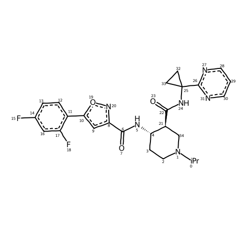 CC(C)N1CC[C@H](NC(=O)c2cc(-c3ccc(F)cc3F)on2)[C@@H](C(=O)NC2(c3ncccn3)CC2)C1